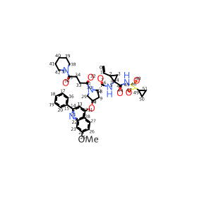 C=CC1C[C@]1(NC(=O)[C@@H]1C[C@@H](Oc2cc(-c3ccccc3)nc3cc(OC)ccc23)CN1C(=O)CCC(=O)N1CCCCC1)C(=O)NS(=O)(=O)C1CC1